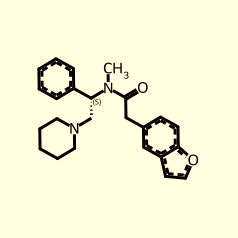 CN(C(=O)Cc1ccc2occc2c1)[C@H](CN1CCCCC1)c1ccccc1